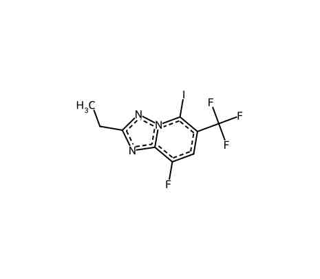 CCc1nc2c(F)cc(C(F)(F)F)c(I)n2n1